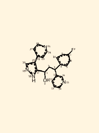 OC(CC(c1ccc(F)cc1)c1cccnc1)c1[nH]ncc1-c1ccncc1